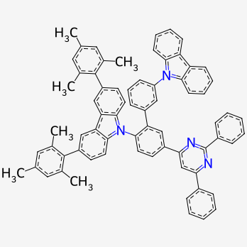 Cc1cc(C)c(-c2ccc3c(c2)c2cc(-c4c(C)cc(C)cc4C)ccc2n3-c2ccc(-c3cc(-c4ccccc4)nc(-c4ccccc4)n3)cc2-c2cccc(-n3c4ccccc4c4ccccc43)c2)c(C)c1